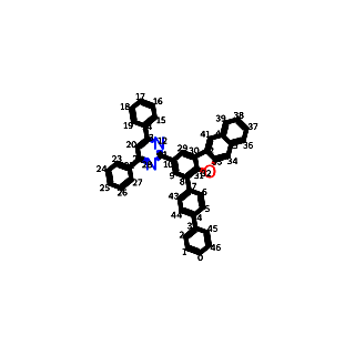 c1ccc(-c2ccc(-c3cc(-c4nc(-c5ccccc5)cc(-c5ccccc5)n4)cc4c3oc3cc5ccccc5cc34)cc2)cc1